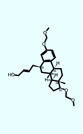 COCOc1ccc2c(c1)[C@H](CC=CCO)C[C@@H]1[C@@H]2CC[C@]2(C)[C@@H](OCOC)CC[C@@H]12